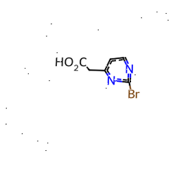 O=C(O)Cc1ccnc(Br)n1